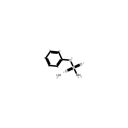 NS(=O)(=O)Oc1ccccc1.[LiH]